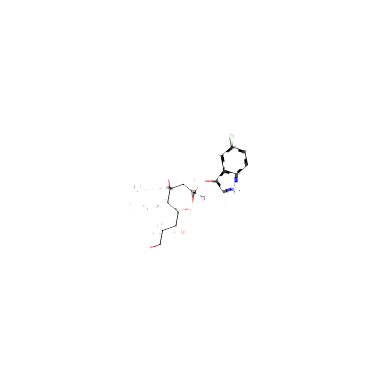 CO[C@]1(O)C[C@@](Oc2c[nH]c3ccc(Br)cc23)(C(=O)O)O[C@@H]([C@H](O)[C@H](O)CO)[C@@H]1NC(C)=O